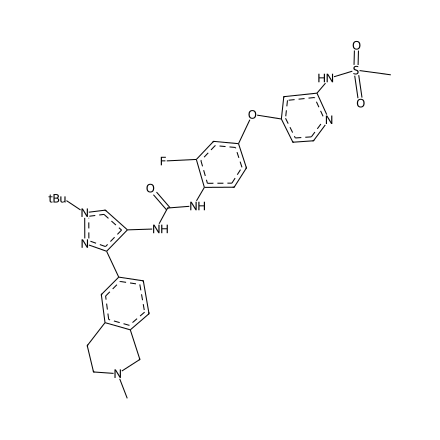 CN1CCc2cc(-c3nn(C(C)(C)C)cc3NC(=O)Nc3ccc(Oc4ccnc(NS(C)(=O)=O)c4)cc3F)ccc2C1